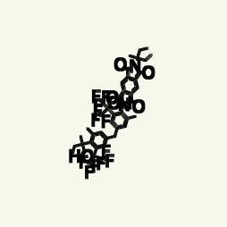 CCC(C)(CC)c1c(C)cc(Cc2cc(C)c(-n3c(=O)c4cc5c(=O)n(C(C)(CC)CC)c(=O)c5cc4c3=O)c(C(O)(C(F)(F)F)C(F)(F)F)c2)cc1C(O)(C(F)(F)F)C(F)(F)F